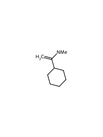 C=C(NC)C1CCCCC1